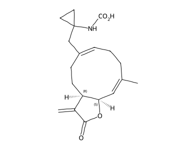 C=C1C(=O)O[C@@H]2C=C(C)CCC=C(CC3(NC(=O)O)CC3)CC[C@H]12